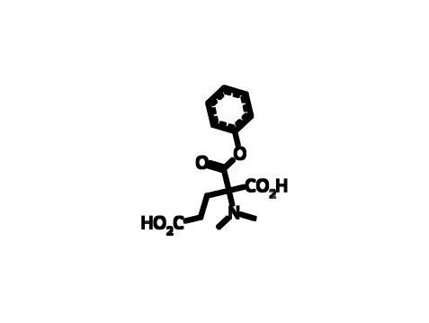 CN(C)C(CCC(=O)O)(C(=O)O)C(=O)Oc1ccccc1